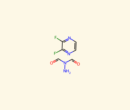 Fc1nccnc1F.NN(C=O)C=O